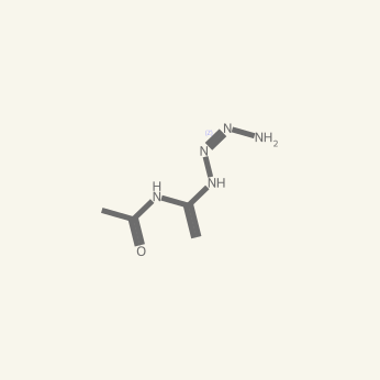 C=C(N/N=N\N)NC(C)=O